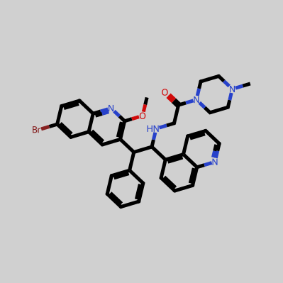 COc1nc2ccc(Br)cc2cc1C(c1ccccc1)C(NCC(=O)N1CCN(C)CC1)c1cccc2ncccc12